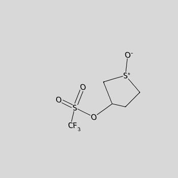 O=S(=O)(OC1CC[S+]([O-])C1)C(F)(F)F